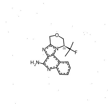 CC(C)(F)[C@@H]1COCc2nc3c(N)nc4ccccc4c3n21